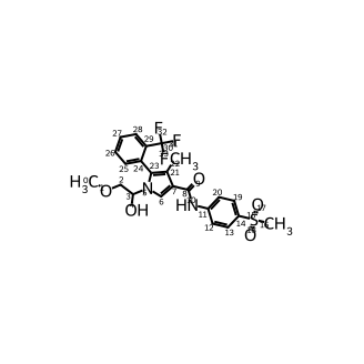 COCC(O)n1cc(C(=O)Nc2ccc(S(C)(=O)=O)cc2)c(C)c1-c1ccccc1C(F)(F)F